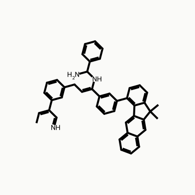 C/C=C(\C=N)c1cccc(C/C=C(\NC(N)c2ccccc2)c2cccc(-c3cccc4c3-c3cc5ccccc5cc3C4(C)C)c2)c1